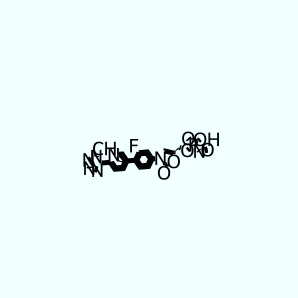 Cn1nnnc1-c1ccc(-c2ccc(N3C[C@H](COP(=O)(O)N=O)OC3=O)cc2F)cn1